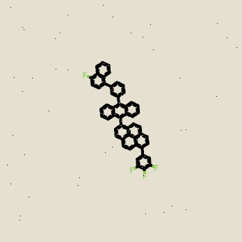 Fc1cc(-c2ccc3ccc4c(-c5c6ccccc6c(-c6cccc(-c7ccc(F)c8ccccc78)c6)c6ccccc56)ccc5ccc2c3c54)cc(F)c1F